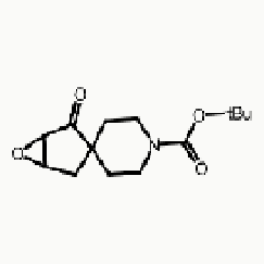 CC(C)(C)OC(=O)N1CCC2(CC1)CC1OC1C2=O